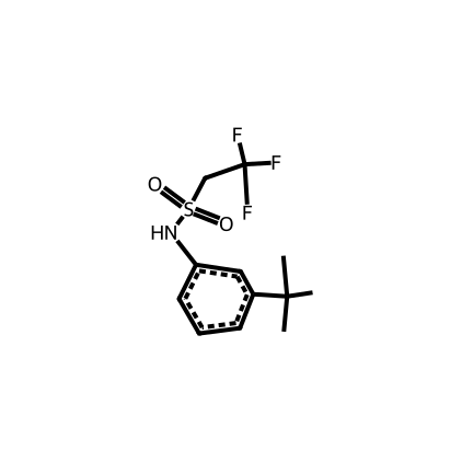 CC(C)(C)c1cccc(NS(=O)(=O)CC(F)(F)F)c1